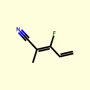 C=C/C(F)=C(\C)C#N